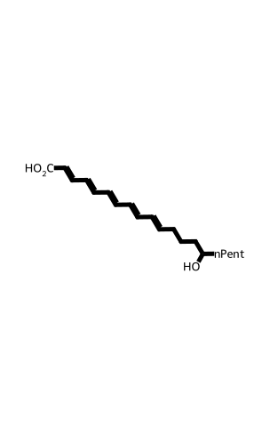 CCCCCC(O)CCCC=CC=CC=CC=CC=CC(=O)O